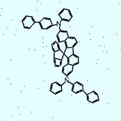 c1ccc(-c2ccc(N(c3ccccc3)c3ccc4c5c(ccc4c3)-c3ccc4cc(N(c6ccccc6)c6ccc(-c7ccccc7)cc6)ccc4c3C53c4ccccc4-c4ccccc43)cc2)cc1